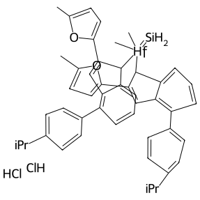 Cc1ccc(C2=Cc3c(-c4ccc(C(C)C)cc4)cccc3[CH]2[Hf]([CH3])([CH3])(=[SiH2])[CH]2C(c3ccc(C)o3)=Cc3c(-c4ccc(C(C)C)cc4)cccc32)o1.Cl.Cl